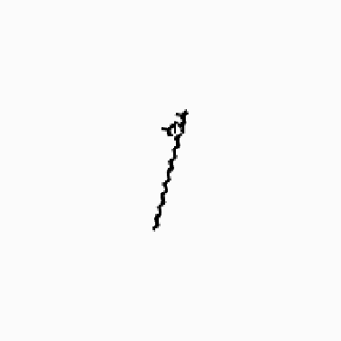 C=C(C)CN(CCCCCCCCCCCCCCCCCC)CC(=C)C